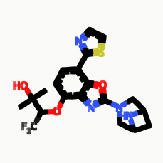 CC(C)(O)C(Oc1ccc(-c2nccs2)c2oc(N3CC4CC(C3)N4)nc12)C(F)(F)F